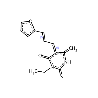 C=c1[nH]c(=S)n(CC)c(=O)/c1=C\C=C\c1ccco1